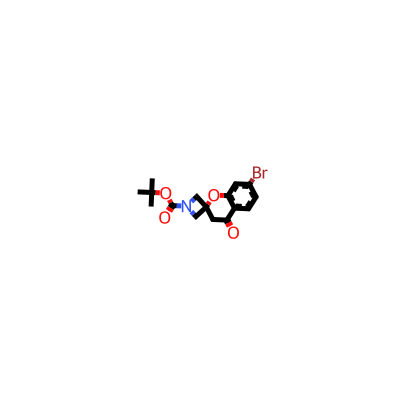 CC(C)(C)OC(=O)N1CC2(CC(=O)c3ccc(Br)cc3O2)C1